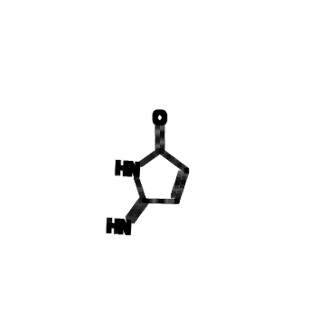 N=C1C=CC(=O)N1